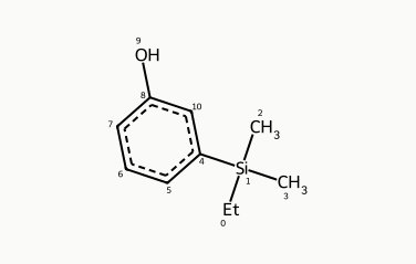 CC[Si](C)(C)c1cccc(O)c1